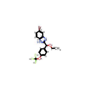 CCOC(c1ccc(OC(F)(F)F)cc1)c1nc2cc(Br)ccc2[nH]1